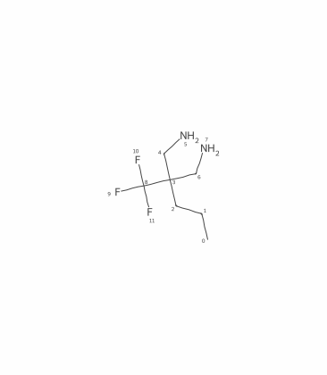 CCCC(CN)(CN)C(F)(F)F